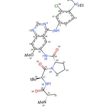 CCN(CC)c1ccc(Nc2ncnc3cc(OC)c(NC(=O)[C@@H]4CCCN4C(=O)[C@@H](NC(=O)[C@H](C)NC)C(C)(C)C)cc23)cc1Cl